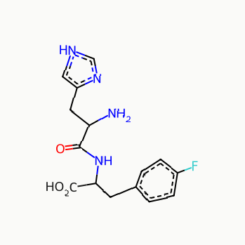 NC(Cc1c[nH]cn1)C(=O)NC(Cc1ccc(F)cc1)C(=O)O